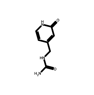 NC(=O)NCc1cc[nH]c(=O)c1